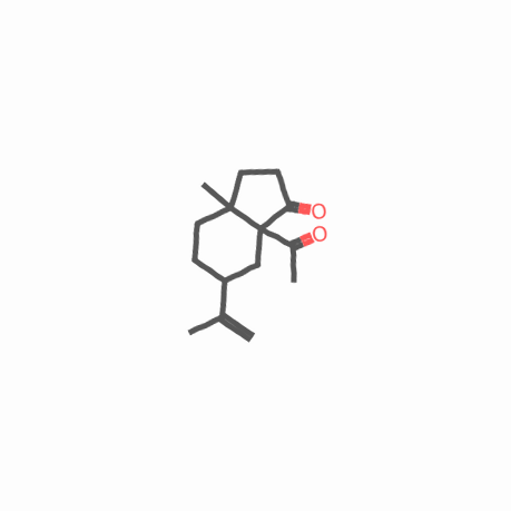 C=C(C)C1CCC2(C)CCC(=O)C2(C(C)=O)C1